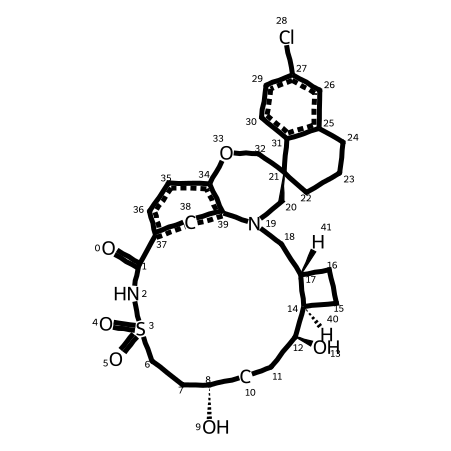 O=C1NS(=O)(=O)CC[C@@H](O)CC[C@H](O)[C@@H]2CC[C@H]2CN2C[C@@]3(CCCc4cc(Cl)ccc43)COc3ccc1cc32